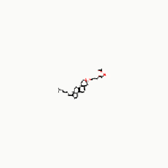 CC(C)CCC[C@@H](C)C1CC[C@H]2[C@@H]3CC=C4C[C@@H](OCCCC5=CC(=O)OC(C)(C)O5)CC[C@]4(C)C3CC[C@]12C